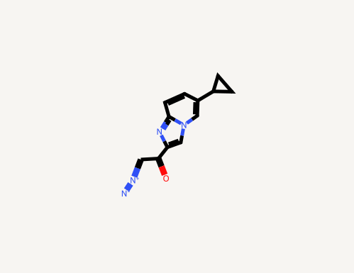 [N-]=[N+]=CC(=O)c1cn2cc(C3CC3)ccc2n1